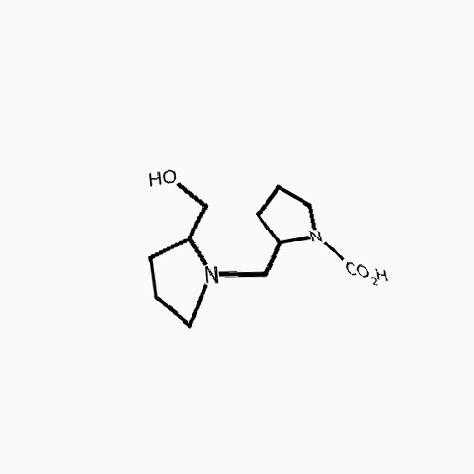 O=C(O)N1CCCC1CN1CCCC1CO